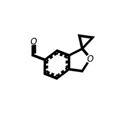 O=Cc1ccc2c(c1)C1(CC1)OC2